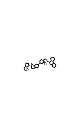 c1cnc2c(-c3ccc4ccc(-c5ccc6ccc(-c7cc8ccccc8c8ccccc78)nc6c5)cc4n3)cccc2c1